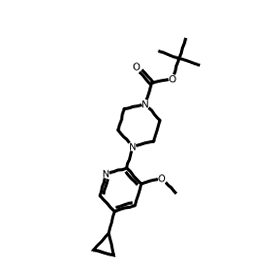 COc1cc(C2CC2)cnc1N1CCN(C(=O)OC(C)(C)C)CC1